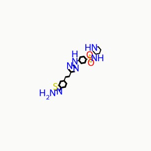 Nc1nc2ccc(/C=C/c3cnc(Nc4ccc(S(=O)(=O)NC5CCCNC5)cc4)nc3)cc2s1